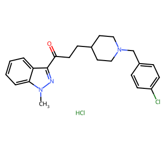 Cl.Cn1nc(C(=O)CCC2CCN(Cc3ccc(Cl)cc3)CC2)c2ccccc21